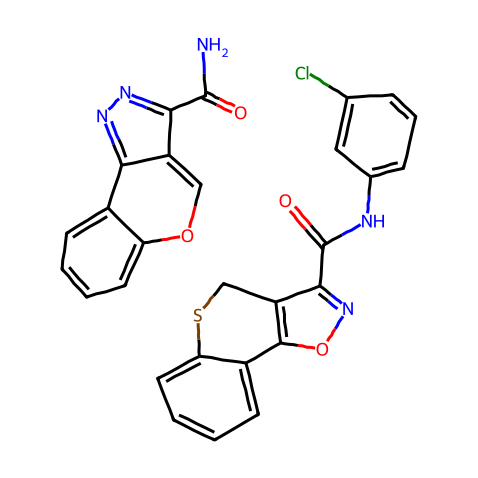 NC(=O)c1nnc2c3ccccc3occ1-2.O=C(Nc1cccc(Cl)c1)c1noc2c1CSc1ccccc1-2